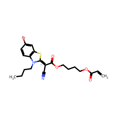 C=CC(=O)OCCCCOC(=O)/C(C#N)=C1\Sc2cc(Br)ccc2N1CCCC